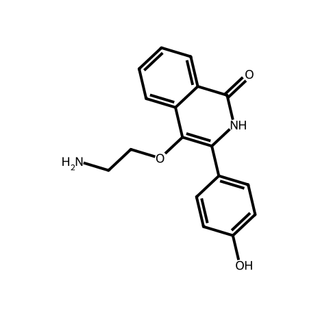 NCCOc1c(-c2ccc(O)cc2)[nH]c(=O)c2ccccc12